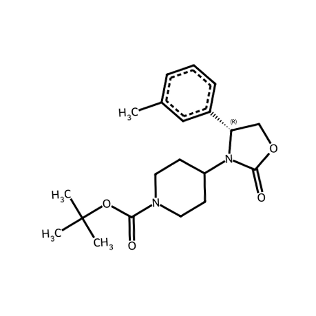 Cc1cccc([C@@H]2COC(=O)N2C2CCN(C(=O)OC(C)(C)C)CC2)c1